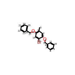 Cc1cc(OCc2ccccc2)c(Br)cc1OCc1ccccc1